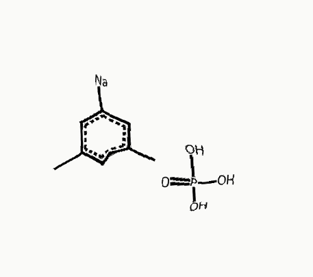 Cc1cc(C)c[c]([Na])c1.O=P(O)(O)O